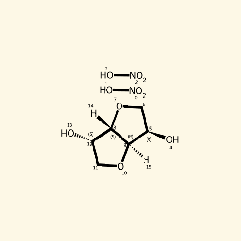 O=[N+]([O-])O.O=[N+]([O-])O.O[C@@H]1CO[C@@H]2[C@@H]1OC[C@@H]2O